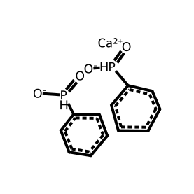 O=[PH]([O-])c1ccccc1.O=[PH]([O-])c1ccccc1.[Ca+2]